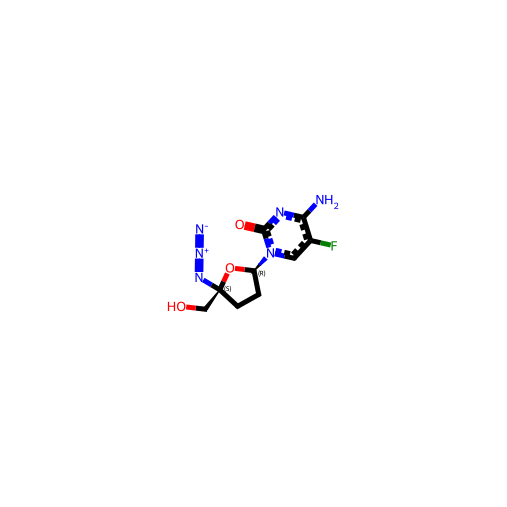 [N-]=[N+]=N[C@@]1(CO)CC[C@H](n2cc(F)c(N)nc2=O)O1